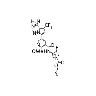 C=CCOC(=O)N1C[C@H](F)[C@H](NC(=O)c2cc(-c3cc(C(F)(F)F)c4c(N)ncnn34)cnc2OC)C1